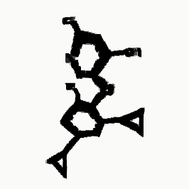 Oc1cc(Cl)nnc1Oc1c(F)cc(C2CC2)cc1C1CC1